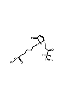 CCCCCC(F)(F)C(=O)CC[C@H]1C=CC(=O)[C@@H]1CCCCCCC(=O)OC(C)C